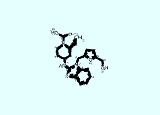 CCC1CC(Nc2nc3ccccc3n2Cc2ccc(CO)o2)CCN1C(=O)O